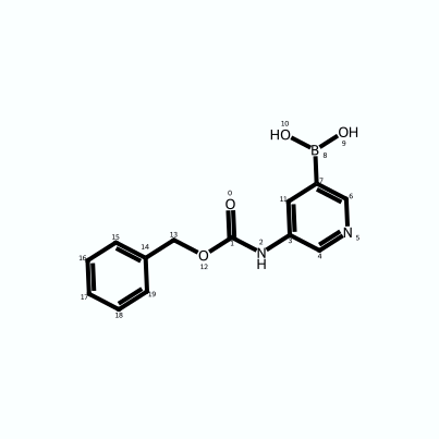 O=C(Nc1cncc(B(O)O)c1)OCc1ccccc1